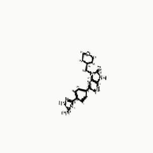 CC(C)c1nc(-c2ccc(-c3cnc4[nH]c(=O)n(CC5CCOCC5)c4n3)cc2)n[nH]1